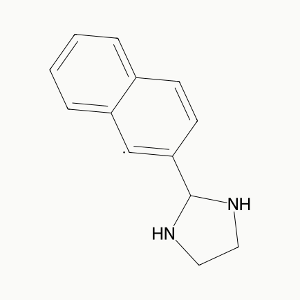 [c]1c(C2NCCN2)ccc2ccccc12